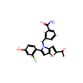 CC(=O)c1cc2c(cc(-c3ccc(O)cc3Cl)n2Cc2cccc(C(N)=O)c2)s1